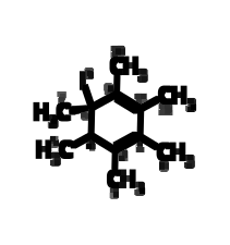 CC1=C(C)C(C)[C@](C)(I)C(C)=C1C